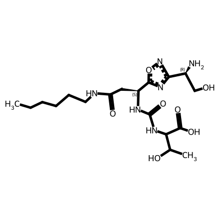 CCCCCCNC(=O)C[C@H](NC(=O)NC(C(=O)O)C(C)O)c1nc([C@@H](N)CO)no1